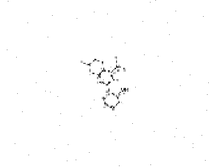 CN1CCc2c(nc(-c3ccccc3O)nc2N(C)C)C1